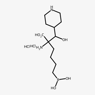 Cl.Cl.NC(CCCCB(O)O)(C(=O)O)C(O)C1CCNCC1